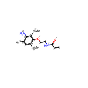 C=CC(=O)NCCOc1c(OC)cc(C(C)=O)c(N)c1OC